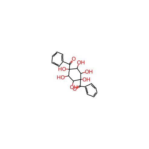 O=C(c1ccccc1)C1(O)C(O)C(O)C(O)(C(=O)c2ccccc2)C(O)C1O